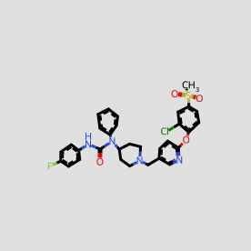 CS(=O)(=O)c1ccc(Oc2ccc(CN3CCC(N(C(=O)Nc4ccc(F)cc4)c4ccccc4)CC3)cn2)c(Cl)c1